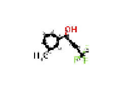 Cc1cccc(C(O)C#CC(F)(F)F)c1